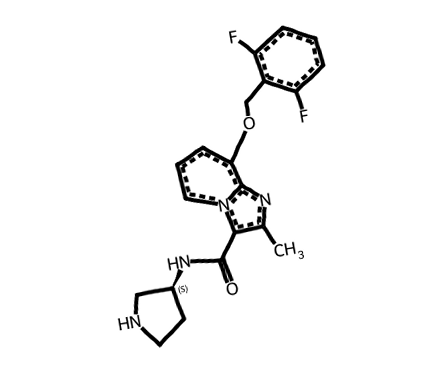 Cc1nc2c(OCc3c(F)cccc3F)cccn2c1C(=O)N[C@H]1CCNC1